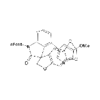 CCCCCN1C(=O)C2(COc3cc4c(cc32)OCO4)c2c(-c3cncc(OC)c3)cccc21